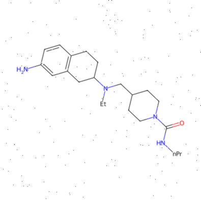 CCCNC(=O)N1CCC(CN(CC)C2CCc3ccc(N)cc3C2)CC1